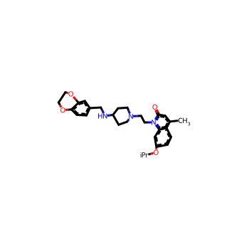 Cc1cc(=O)n(CCN2CCC(NCc3ccc4c(c3)OCCO4)CC2)c2cc(OC(C)C)ccc12